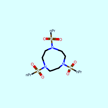 CCCS(=O)(=O)N1CCN(S(=O)(=O)CCC)CCN(S(=O)(=O)CCC)CC1